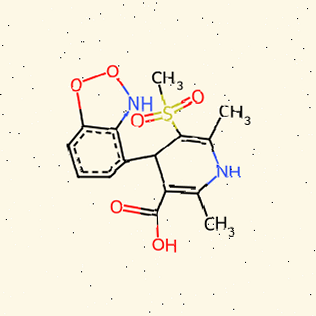 CC1=C(C(=O)O)C(c2cccc3c2NOO3)C(S(C)(=O)=O)=C(C)N1